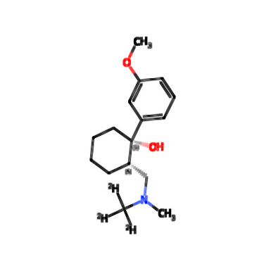 [2H]C([2H])([2H])N(C)C[C@@H]1CCCC[C@@]1(O)c1cccc(OC)c1